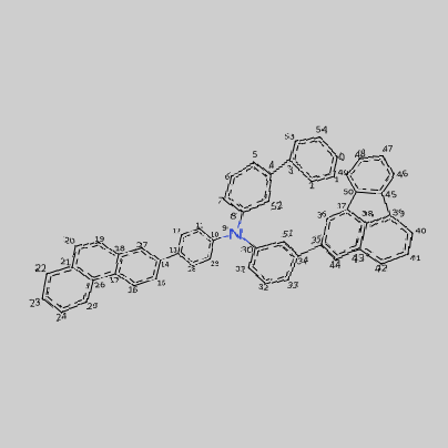 c1ccc(-c2cccc(N(c3ccc(-c4ccc5c(ccc6ccccc65)c4)cc3)c3cccc(-c4cc5c6c(cccc6c4)-c4ccccc4-5)c3)c2)cc1